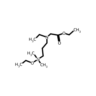 CCOC(=O)CN(CC)CCC[Si](C)(C)OCC